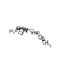 COc1ccc(CC(=O)NC[C@H]2CC[C@@H](Nc3cc(N(C)C)c4ccccc4n3)CC2)cc1